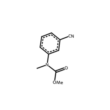 COC(=O)N(C)c1cccc(C#N)c1